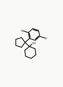 CCc1ccc(Cl)c(C2(C3(O)CCCCC3)CCCC2)c1